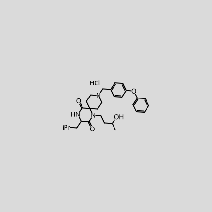 CC(C)CC1NC(=O)C2(CCN(Cc3ccc(Oc4ccccc4)cc3)CC2)N(CCC(C)O)C1=O.Cl